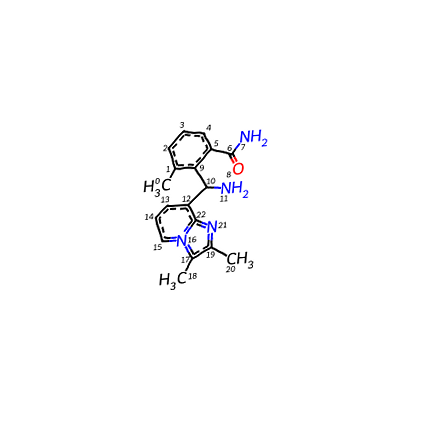 Cc1cccc(C(N)=O)c1C(N)c1cccn2c(C)c(C)nc12